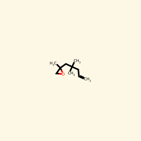 C=CCC(C)(C)CC1(C)CO1